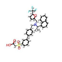 CC(c1cccc2ccccc12)N(Cc1ccc(-c2cccc(S(=O)(=O)CC(=O)O)c2)cc1)Cc1ccc(C(F)(F)F)o1